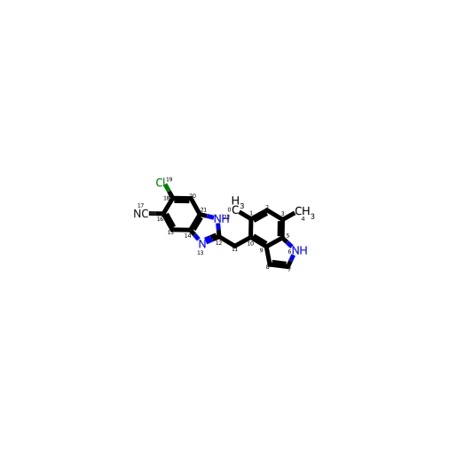 Cc1cc(C)c2[nH]ccc2c1Cc1nc2cc(C#N)c(Cl)cc2[nH]1